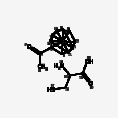 CC(=O)[C]12[CH]3[CH]4[CH]5[CH]1[Fe]45321678[CH]2[CH]1[CH]6[CH]7[CH]28.NC(CS)C(=O)O